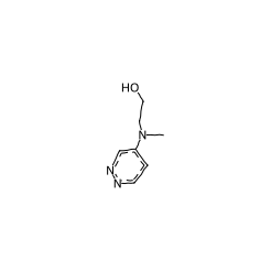 CN(CCO)c1ccnnc1